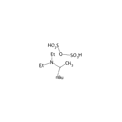 CCCCC(C)N(CC)CC.O=S(=O)(O)OS(=O)(=O)O